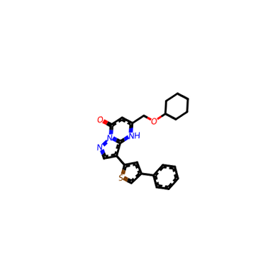 O=c1cc(COC2CCCCC2)[nH]c2c(-c3cc(-c4ccccc4)cs3)cnn12